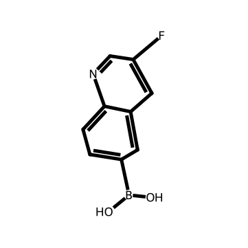 OB(O)c1ccc2ncc(F)cc2c1